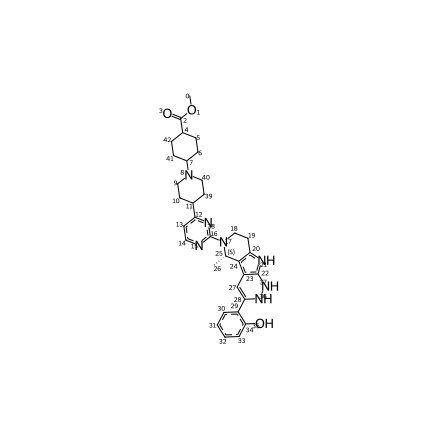 COC(=O)C1CCC(N2CCC(c3ccnc(N4CCc5[nH]c6c(c5[C@@H]4C)C=C(c4ccccc4O)NN6)n3)CC2)CC1